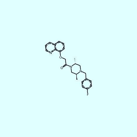 C[C@@H]1CN(Cc2ccc(F)cc2)[C@@H](C)CN1C(=O)COc1cccc2cccnc12